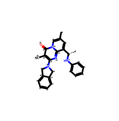 Cc1cc([C@H](C)Nc2ccccc2)c2nc(N3Cc4ccccc4C3)c(C#N)c(=O)n2c1